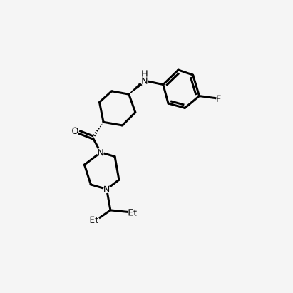 CCC(CC)N1CCN(C(=O)[C@H]2CC[C@H](Nc3ccc(F)cc3)CC2)CC1